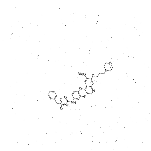 COc1cc2c(Oc3ccc(NC(=O)NS(=O)(=O)Cc4ccccc4)cc3F)ccnc2cc1OCCCN1CCOCC1